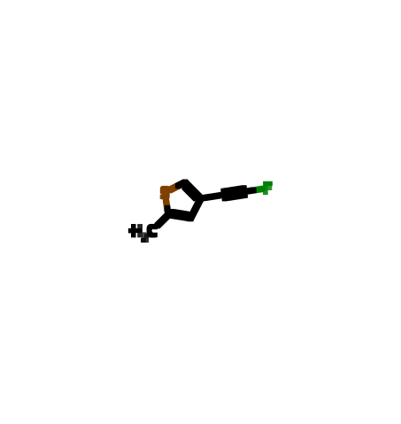 [CH2]c1cc(C#CF)cs1